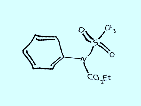 CCOC(=O)N(c1ccccc1)S(=O)(=O)C(F)(F)F